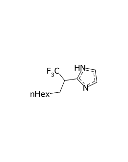 CCCCCCCC(c1ncc[nH]1)C(F)(F)F